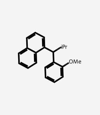 COc1ccccc1C(c1cccc2ccccc12)C(C)C